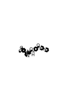 COc1ccc(-c2ccnc3cc(C(=O)NC4CCC(C(=O)N5CCC(N6CCCCC6)CC5)CC4)nn23)cc1OC